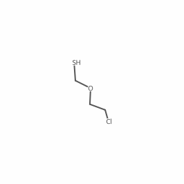 SCOCCCl